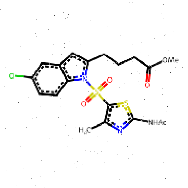 COC(=O)CCCc1cc2cc(Cl)ccc2n1S(=O)(=O)c1sc(NC(C)=O)nc1C